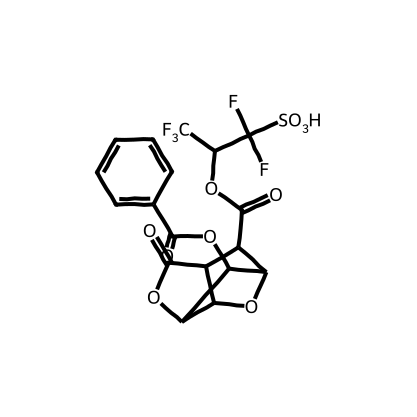 O=C(OC1C2OC(=O)C3C2OC1C3C(=O)OC(C(F)(F)F)C(F)(F)S(=O)(=O)O)c1ccccc1